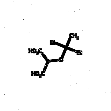 CCC(C)(CC)OC(C(=O)O)C(=O)O